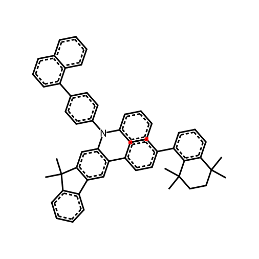 CC1(C)CCC(C)(C)c2c(-c3ccc(-c4cc5c(cc4N(c4ccccc4)c4ccc(-c6cccc7ccccc67)cc4)C(C)(C)c4ccccc4-5)cc3)cccc21